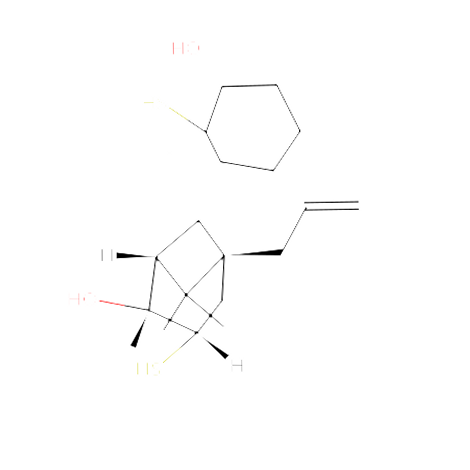 C=C(C[C@]12C[C@H](C1(C)C)[C@@](C)(O)[C@@H](S)C2)[C@H]1CC[C@@H](O)[C@](C)(S)C1